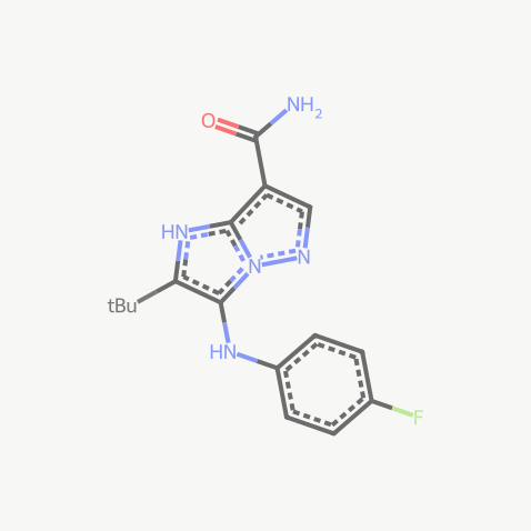 CC(C)(C)c1[nH]c2c(C(N)=O)cnn2c1Nc1ccc(F)cc1